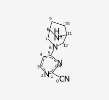 N#Cc1nccc(N2CC3CCC(C2)N3)n1